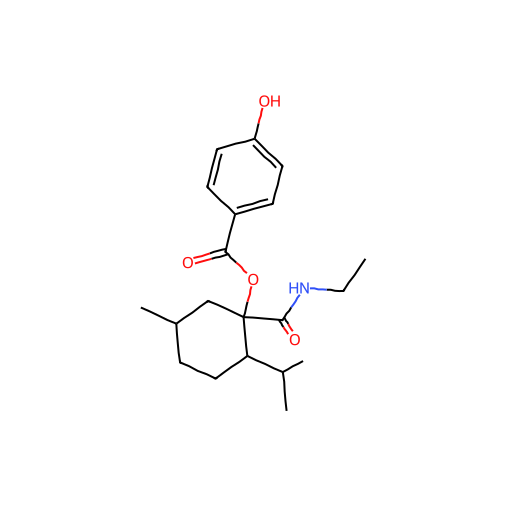 CCNC(=O)C1(OC(=O)c2ccc(O)cc2)CC(C)CCC1C(C)C